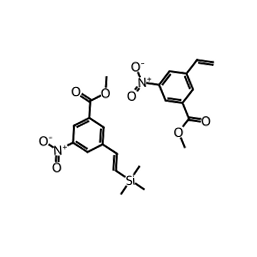 C=Cc1cc(C(=O)OC)cc([N+](=O)[O-])c1.COC(=O)c1cc(C=C[Si](C)(C)C)cc([N+](=O)[O-])c1